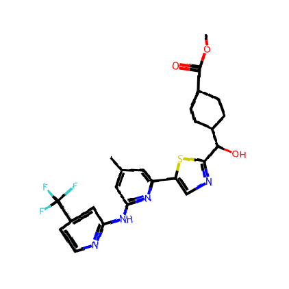 COC(=O)C1CCC(C(O)c2ncc(-c3cc(C)cc(Nc4cc(C(F)(F)F)ccn4)n3)s2)CC1